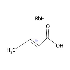 C/C=C/C(=O)O.[RbH]